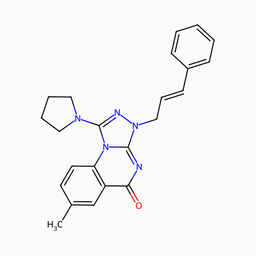 Cc1ccc2c(c1)c(=O)nc1n(C/C=C/c3ccccc3)nc(N3CCCC3)n21